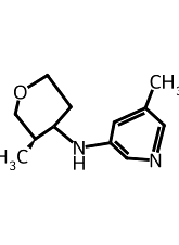 Cc1cncc(NC2CCOC[C@@H]2C)c1